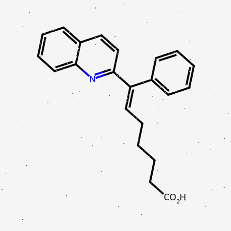 O=C(O)CCCCC=C(c1ccccc1)c1ccc2ccccc2n1